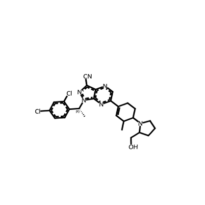 CC1C=C(c2cnc3c(C#N)nn([C@H](C)c4ccc(Cl)cc4Cl)c3n2)CCC1N1CCCC1CO